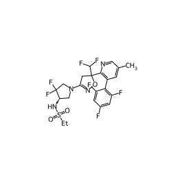 CCS(=O)(=O)N[C@@H]1CN(C2=NOC(c3ncc(C)cc3-c3c(F)cc(F)cc3F)(C(F)F)C2)CC1(F)F